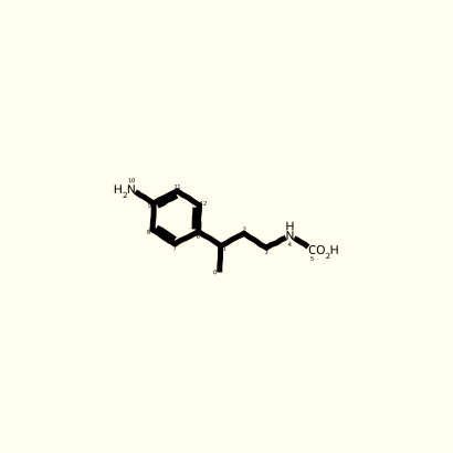 CC(CCNC(=O)O)c1ccc(N)cc1